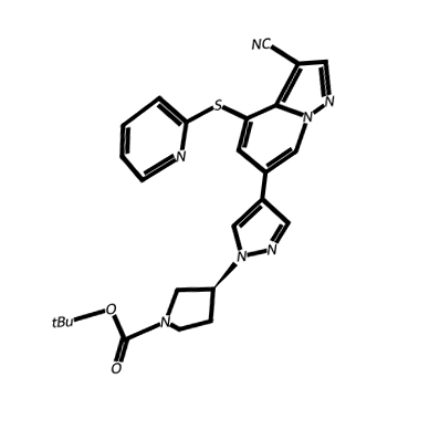 CC(C)(C)OC(=O)N1CC[C@H](n2cc(-c3cc(Sc4ccccn4)c4c(C#N)cnn4c3)cn2)C1